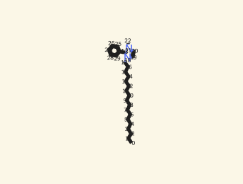 CCCCCCCCCCCCCCCCCCN1C=CN(C)C1c1ccccc1